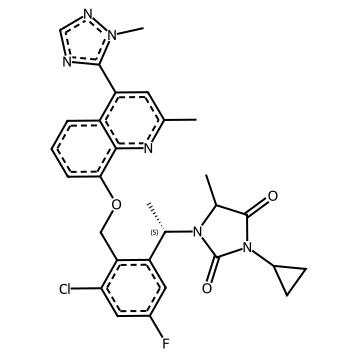 Cc1cc(-c2ncnn2C)c2cccc(OCc3c(Cl)cc(F)cc3[C@H](C)N3C(=O)N(C4CC4)C(=O)C3C)c2n1